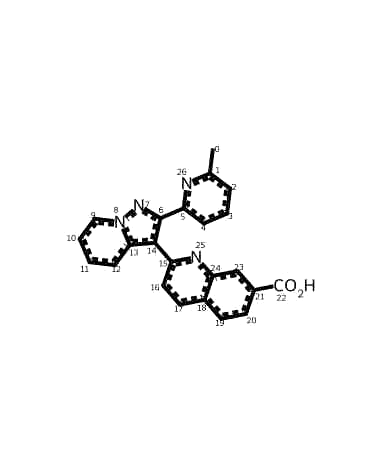 Cc1cccc(-c2nn3ccccc3c2-c2ccc3ccc(C(=O)O)cc3n2)n1